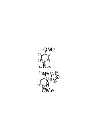 COc1ccc(N2CCN(c3ccc(OC)nc3-c3ccoc3)CC2)cc1